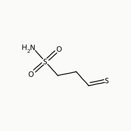 NS(=O)(=O)CCC=S